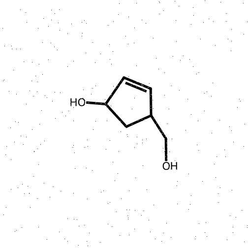 OCC1C=CC(O)C1